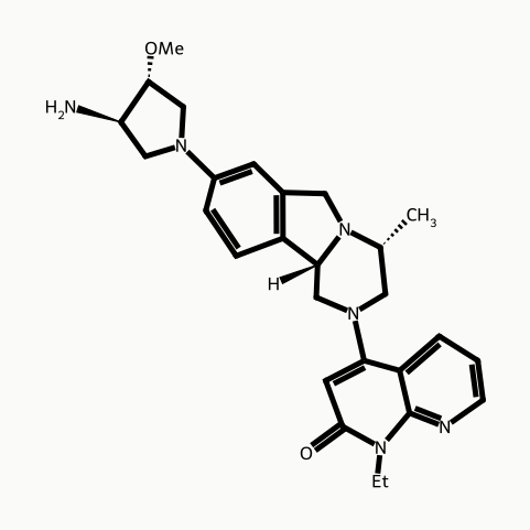 CCn1c(=O)cc(N2C[C@@H](C)N3Cc4cc(N5C[C@@H](N)[C@H](OC)C5)ccc4[C@H]3C2)c2cccnc21